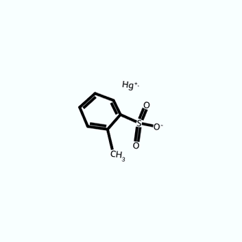 Cc1ccccc1S(=O)(=O)[O-].[Hg+]